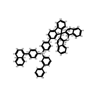 c1ccc(-c2cccc(N(c3ccc(-c4ccc5c(c4)C4(c6ccccc6-5)c5ccc6ccccc6c5Oc5c4ccc4ccccc54)cc3)c3ccc(-c4cccc5ccccc45)cc3)c2)cc1